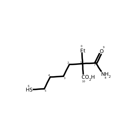 CCC(CCCCS)(C(N)=O)C(=O)O